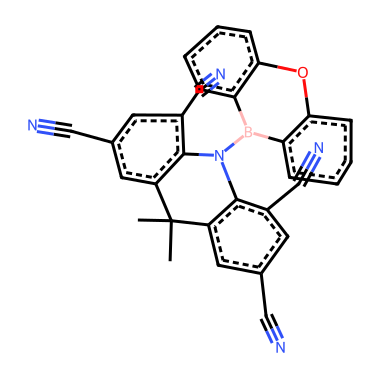 CC1(C)c2cc(C#N)cc(C#N)c2N(B2c3ccccc3Oc3ccccc32)c2c(C#N)cc(C#N)cc21